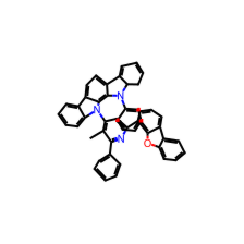 Cc1c(-n2c3ccccc3c3ccc4c(c32)N(c2ccccc2)C2CC=CC=C42)cc(-c2cccc3c2oc2ccccc23)nc1-c1ccccc1